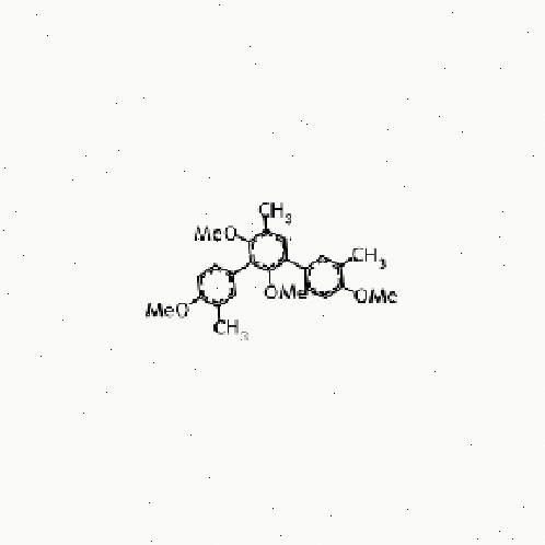 COc1ccc(-c2[c]c(C)c(OC)c(-c3ccc(OC)c(C)c3)c2OC)cc1C